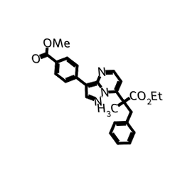 CCOC(=O)C(C)(Cc1ccccc1)c1ccnc2c(-c3ccc(C(=O)OC)cc3)cnn12